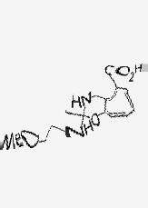 COCCNC1(C)Nc2c(cccc2C(=O)O)O1